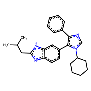 CC(C)Cc1nc2ccc(-c3c(-c4ccccc4)ncn3C3CCCCC3)cc2[nH]1